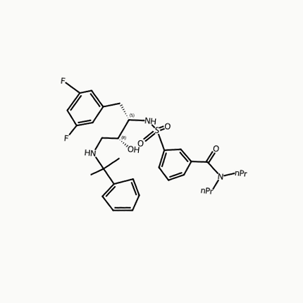 CCCN(CCC)C(=O)c1cccc(S(=O)(=O)N[C@@H](Cc2cc(F)cc(F)c2)[C@H](O)CNC(C)(C)c2ccccc2)c1